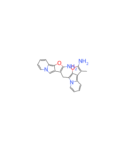 Cc1c(N)oc2c(Cc3c(N)oc4c3cn3ccccc43)n3ccccc3c12